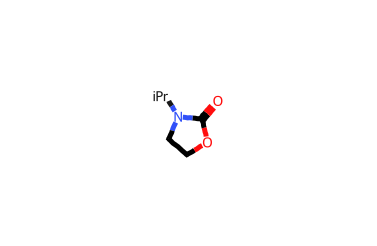 CC(C)N1CCOC1=O